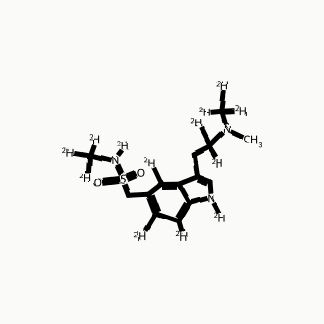 [2H]c1c(CS(=O)(=O)N([2H])C([2H])([2H])[2H])c([2H])c2c(CC([2H])([2H])N(C)C([2H])([2H])[2H])cn([2H])c2c1[2H]